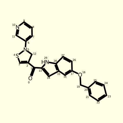 O=C(C1=CSN(c2cccnc2)C1)c1cc2cc(OCc3ccccc3)ccc2[nH]1